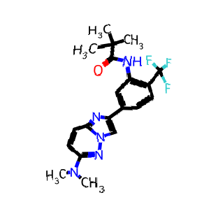 CN(C)c1ccc2nc(-c3ccc(C(F)(F)F)c(NC(=O)C(C)(C)C)c3)cn2n1